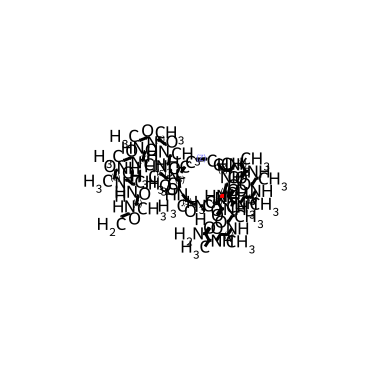 C=CC(=O)N[C@@H](C)C(=O)NC(C)C(=O)N[C@@H](C)C(=O)NC(C)C(=O)N[C@@H](C)C(=O)NC(C)C(=O)N[C@@H](C)C(=O)NC(C)C(=O)N[C@@H](C)C(=O)N[C@@]1(C)CCC/C=C\CC[C@@](C)(C(=O)N[C@@H](C)C(=O)NC(C)C(=O)N[C@@H](C)C(=O)NC(C)C(=O)N[C@@H](C)C(=O)NC(C)C(=O)N[C@@H](C)C(=O)NC(C)C(N)=O)NC(=O)[C@H](C)NC(=O)CNC(=O)[C@H](C)NC1=O